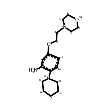 Nc1cc(OCCN2CCOCC2)ccc1N1CCCCC1